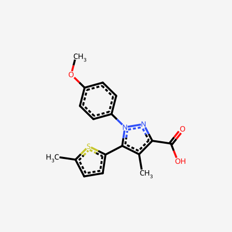 COc1ccc(-n2nc(C(=O)O)c(C)c2-c2ccc(C)s2)cc1